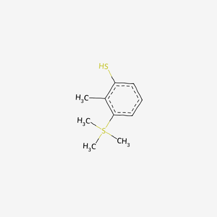 Cc1c(S)cccc1S(C)(C)C